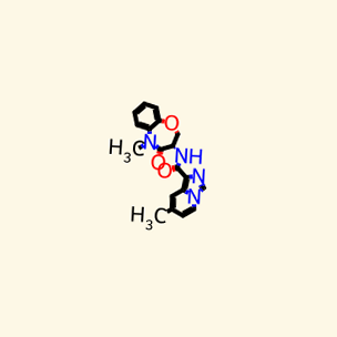 Cc1ccn2cnc(C(=O)N[C@H]3COc4ccccc4N(C)C3=O)c2c1